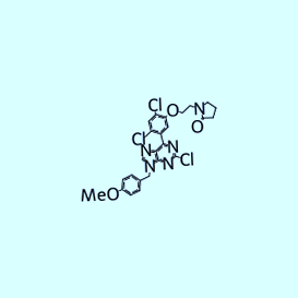 COc1ccc(Cn2cnc3c(-c4cc(OCCN5CCCC5=O)c(Cl)cc4Cl)nc(Cl)nc32)cc1